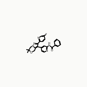 CC1(C)Cn2nc(-c3ccc(F)cn3)c(-c3ccnc(NC(=O)c4ccccc4)c3)c2CO1